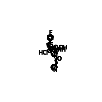 Cl.O=C(NO)[C@H]1CN(C(=O)CCc2cccnc2)CCN1S(=O)(=O)c1ccc(-c2ccc(F)cc2)s1